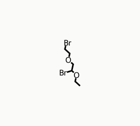 CCOC(Br)COCCBr